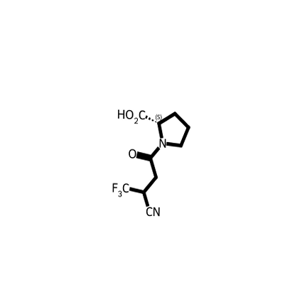 N#CC(CC(=O)N1CCC[C@H]1C(=O)O)C(F)(F)F